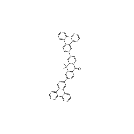 CC1(C)c2cc(-c3ccc4c5ccccc5c5ccccc5c4c3)ccc2C(=O)c2ccc(-c3ccc4c5ccccc5c5ccccc5c4c3)cc21